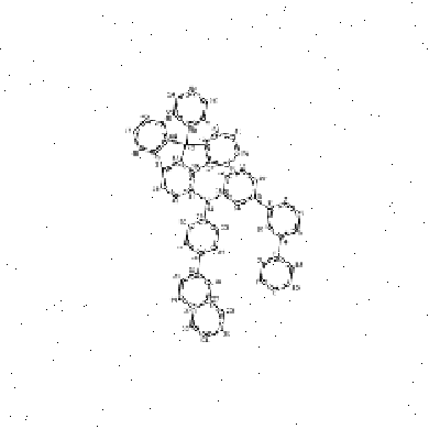 c1ccc(-c2cccc(-c3cccc(N(c4ccc(-c5ccc6ccccc6c5)cc4)c4cccc5c4-c4ccccc4C5(c4ccccc4)c4ccccc4)c3)c2)cc1